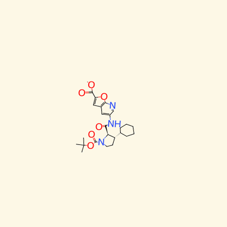 COC(=O)c1cc2cc(NC(=O)[C@H]3[C@H](C4CCCCC4)CCN3C(=O)OC(C)(C)C)cnc2o1